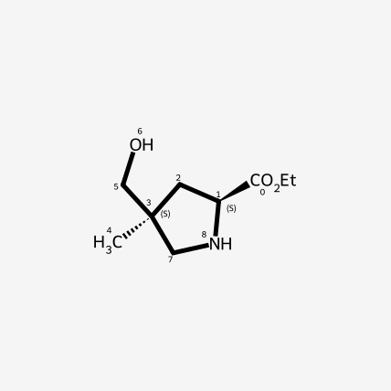 CCOC(=O)[C@@H]1C[C@](C)(CO)CN1